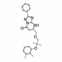 Cc1cccc(OC(C)(C)COCc2cc(=O)n3nc(-c4ccccc4)nc3[nH]2)c1C